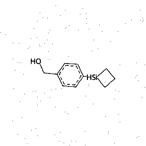 OCc1ccc([SiH]2CCC2)cc1